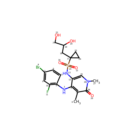 Cc1c(Nc2ccc(Br)cc2F)c(NS(=O)(=O)C2(CC(O)CO)CC2)cn(C)c1=O